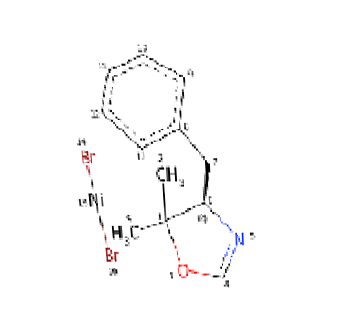 CC1(C)OC=N[C@@H]1Cc1ccccc1.[Br][Ni][Br]